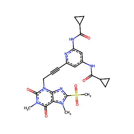 Cn1c(=O)c2c(nc(S(C)(=O)=O)n2C)n(CC#Cc2cc(NC(=O)C3CC3)cc(NC(=O)C3CC3)n2)c1=O